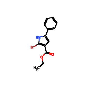 CCOC(=O)c1cc(-c2ccccc2)[nH]c1Br